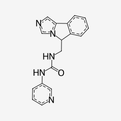 O=C(NCC1c2ccccc2-c2cncn21)Nc1cccnc1